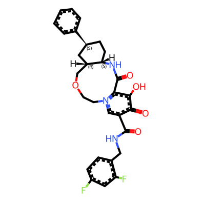 O=C(NCc1ccc(F)cc1F)c1cn2c(c(O)c1=O)C(=O)N[C@H]1CC[C@H](c3ccccc3)C[C@H]1COCC2